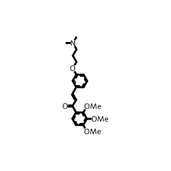 COc1ccc(C(=O)C=Cc2cccc(OCCCN(C)C)c2)c(OC)c1OC